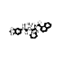 CN(C(=O)c1cccc2ccccc12)c1nc2n(c1OC(=O)Nc1ccc3c(c1)OCO3)CCCC2